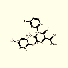 COC(=O)c1cc(Sc2ccc(C#N)cn2)c(C)n(-c2cccc(C(F)(F)F)c2)c1=O